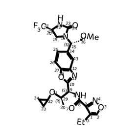 CCc1conc1C(=O)N[C@H](c1nc2cc([C@@H](COC)N3C[C@@H](C(F)(F)F)NC3=O)ccc2o1)[C@@H](C)OC1CC1